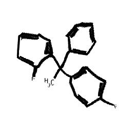 CC(c1ccccc1)(c1ccc(F)cc1)c1ccccc1F